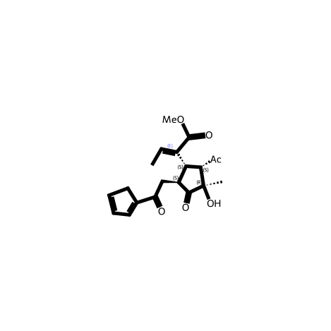 C/C=C(/C(=O)OC)[C@H]1[C@H](CC(=O)C2=CC=CC2)C(=O)[C@](C)(O)[C@H]1C(C)=O